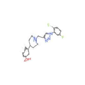 Oc1cccc(C2CCN(Cc3cn(-c4cc(F)ccc4F)nn3)CC2)c1